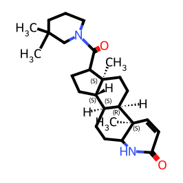 CC1(C)CCCN(C(=O)C2CC[C@H]3[C@@H]4CCC5NC(=O)C=C[C@]5(C)[C@@H]4CC[C@]23C)C1